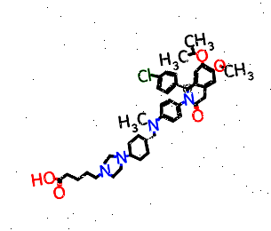 COc1cc2c(cc1OC(C)C)[C@H](c1ccc(Cl)cc1)N(c1ccc(N(C)C[C@H]3CC[C@H](N4CCN(CCCCC(=O)O)CC4)CC3)cc1)C(=O)C2